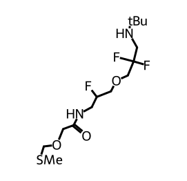 CSCOCC(=O)NCC(F)COCC(F)(F)CNC(C)(C)C